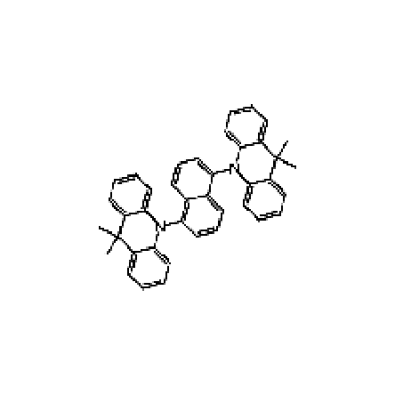 CC1(C)c2ccccc2N(c2cccc3c(N4c5ccccc5C(C)(C)c5ccccc54)cccc23)c2ccccc21